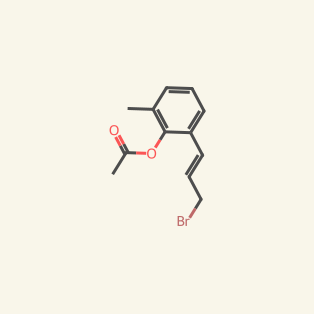 CC(=O)Oc1c(C)cccc1C=CCBr